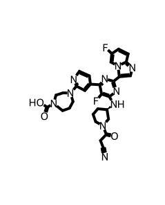 N#CCC(=O)N1CCC[C@@H](Nc2nc(-c3cnc4ccc(F)cn34)nc(-c3ccnc(N4CCCN(C(=O)O)CC4)c3)c2F)C1